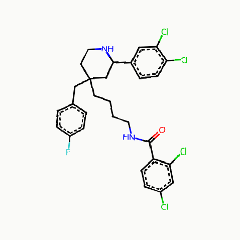 O=C(NCCCCC1(Cc2ccc(F)cc2)CCNC(c2ccc(Cl)c(Cl)c2)C1)c1ccc(Cl)cc1Cl